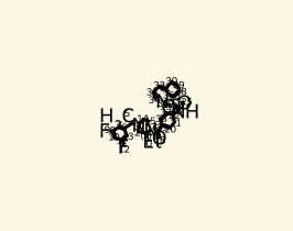 CC[C@H]1CN(C(C)c2cc(F)cc(F)c2)CCN1C(=O)C1=CCC(NS(=O)(=O)c2cccc3cccnc23)C=C1